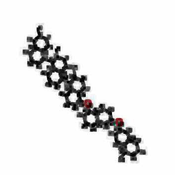 Cc1ccc2c(-c3c(C)ccc4c(-c5c(C)ccc6c(Oc7cccc8cc(Oc9ccc%10c(C)cccc%10c9)ccc78)cccc56)cccc34)cccc2c1